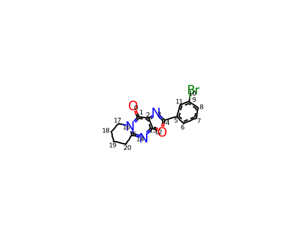 O=c1c2nc(-c3cccc(Br)c3)oc2nc2n1CCCC2